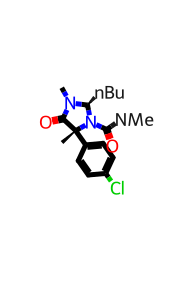 CCCC[C@@H]1N(C)C(=O)[C@@](C)(c2ccc(Cl)cc2)N1C(=O)NC